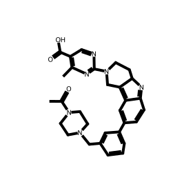 CC(=O)N1CCN(Cc2cccc(-c3ccc4c(c3)=C3CN(c5ncc(C(=O)O)c(C)n5)CCC3N=4)c2)CC1